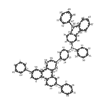 c1ccc(-c2ccc3c4ccc(-c5ccccc5)cc4c4nc(-c5ccc(N(c6ccccc6)c6ccc7c(c6)c6ccccc6n7-c6ccccc6)cc5)cnc4c3c2)cc1